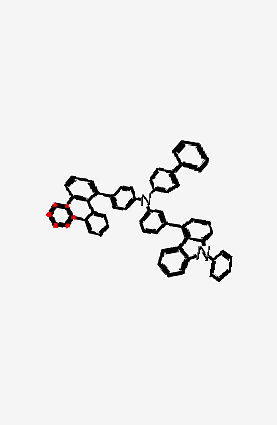 c1ccc(-c2ccc(N(c3ccc(-c4cccc(-c5ccccc5)c4-c4ccccc4-c4ccccc4)cc3)c3cccc(-c4cccc5c4c4ccccc4n5-c4ccccc4)c3)cc2)cc1